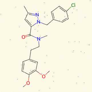 COc1ccc(CCN(C)C(=O)c2cc(C)nn2Cc2ccc(Cl)cc2)cc1OC